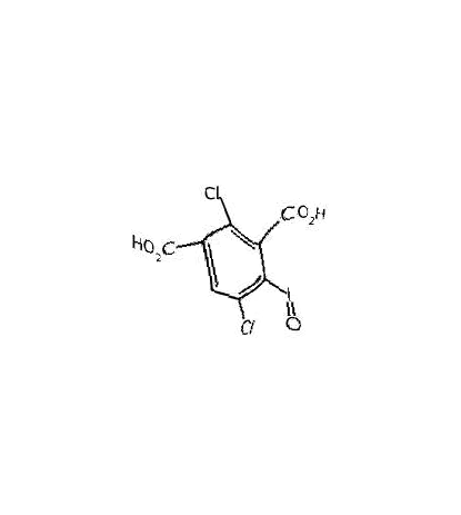 O=Ic1c(Cl)cc(C(=O)O)c(Cl)c1C(=O)O